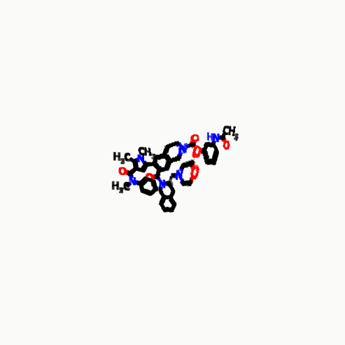 CC(=O)Nc1cccc(OC(=O)N2CCc3cc(-c4cc(C(=O)N(C)c5ccccc5)c(C)n4C)c(C(=O)N4Cc5ccccc5C[C@H]4CN4CCOCC4)cc3C2)c1